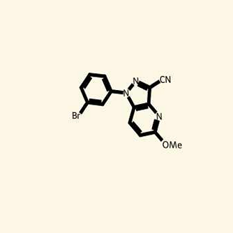 COc1ccc2c(n1)c(C#N)nn2-c1cccc(Br)c1